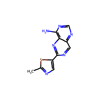 Cc1ncc(-c2ncc3ncnc(N)c3n2)s1